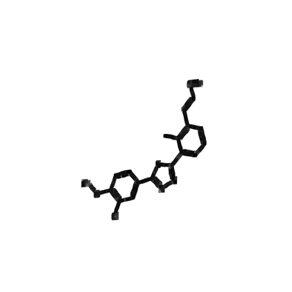 COC=Cc1cccc(-c2nnc(-c3ccc(OC(C)C)c(Cl)c3)s2)c1C